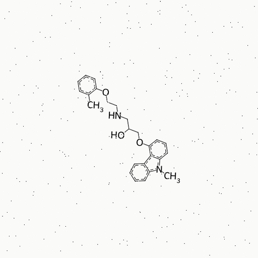 Cc1ccccc1OCCNCC(O)COc1cccc2c1c1ccccc1n2C